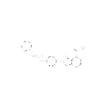 NC(=O)c1cccc2cn(-c3ccc(CNCc4ccccn4)cc3)nc12